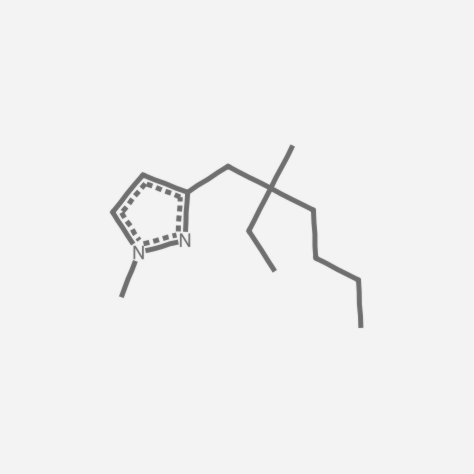 CCCCC(C)(CC)Cc1ccn(C)n1